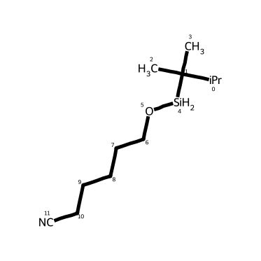 CC(C)C(C)(C)[SiH2]OCCCCCC#N